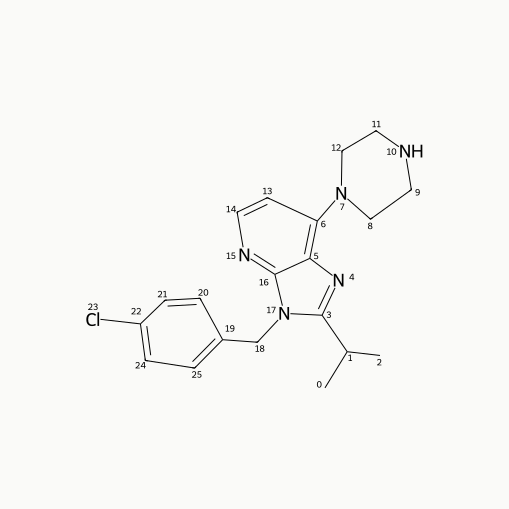 CC(C)c1nc2c(N3CCNCC3)ccnc2n1Cc1ccc(Cl)cc1